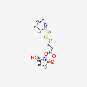 O=C(CCCSSC1=NC=CCC1)ON1C(=O)CC[C@@H]1O